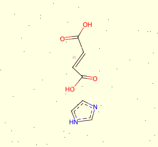 O=C(O)/C=C/C(=O)O.c1c[nH]cn1